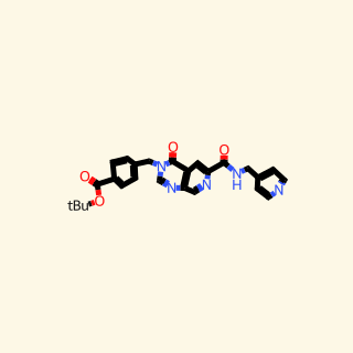 CC(C)(C)OC(=O)c1ccc(Cn2cnc3cnc(C(=O)NCc4ccncc4)cc3c2=O)cc1